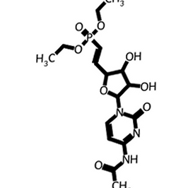 CCOP(=O)(C=CC1OC(n2ccc(NC(C)=O)nc2=O)C(O)C1O)OCC